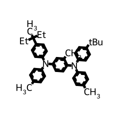 CCC(C)(CC)c1ccc(N(c2ccc(C)cc2)c2ccc(N(c3ccc(C)cc3)c3ccc(C(C)(C)C)cc3)c(C)c2)cc1